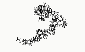 Cc1ncsc1-c1ccc([C@H](C)NC(=O)[C@@H]2C[C@@H](O)CN2C(=O)[C@@H](NC(=O)C2(F)CC2)C(C)(C)C)c(OC2CCN(C(=O)C3CCN(c4nccc(Sc5cnc(N6CCC(C)(CN)CC6)cn5)c4Cl)CC3)CC2)c1